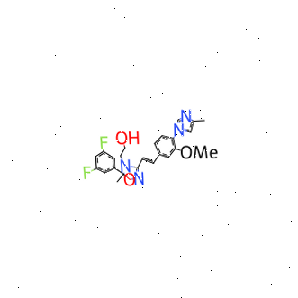 COc1cc(/C=C/C2=NOC(C)(c3cc(F)cc(F)c3)N2CCO)ccc1-n1cnc(C)c1